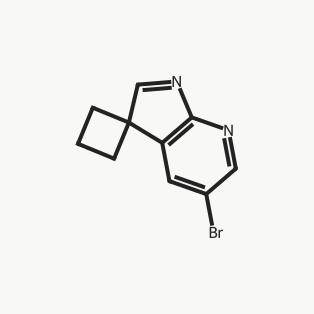 Brc1cnc2c(c1)C1(C=N2)CCC1